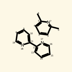 Cc1cccc(C)n1.c1ccc(-c2ccccn2)nc1